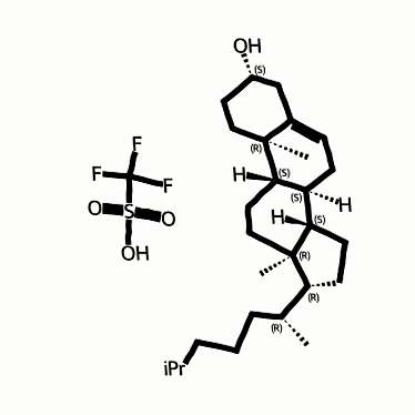 CC(C)CCC[C@@H](C)[C@H]1CC[C@H]2[C@@H]3CC=C4C[C@@H](O)CC[C@]4(C)[C@H]3CC[C@]12C.O=S(=O)(O)C(F)(F)F